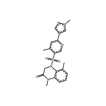 Cc1cc(-c2cnn(C)c2)ncc1S(=O)(=O)N1CC(=O)N(C)c2cccc(C)c21